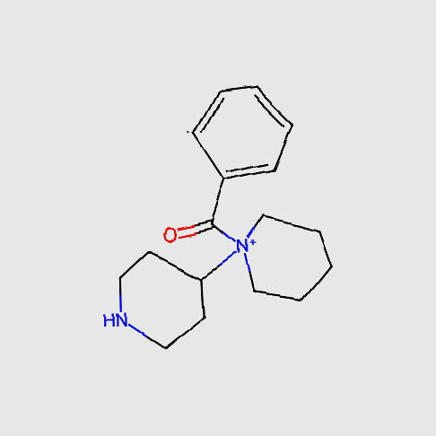 O=C(c1[c]cccc1)[N+]1(C2CCNCC2)CCCCC1